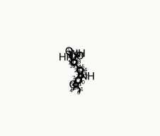 C=Cc1c(C)oc2cc3c(cc12)[nH]c1ccc(-c2ccc4[nH]c(=O)[nH]c(=O)c4c2)cc13